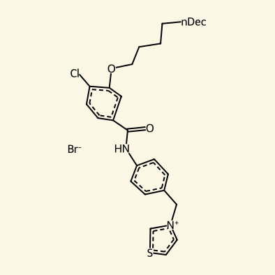 CCCCCCCCCCCCCCOc1cc(C(=O)Nc2ccc(C[n+]3ccsc3)cc2)ccc1Cl.[Br-]